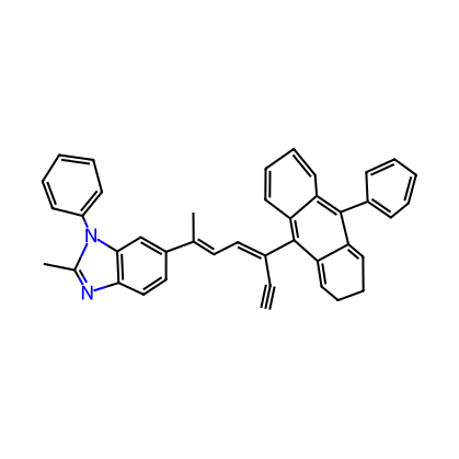 C#C/C(=C\C=C(/C)c1ccc2nc(C)n(-c3ccccc3)c2c1)c1c2c(c(-c3ccccc3)c3ccccc13)=CCCC=2